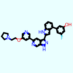 Oc1cc(F)cc(-c2cccc3[nH]c(-c4n[nH]c5cnc(-c6cncc(OCCN7CCCC7)c6)cc45)cc23)c1